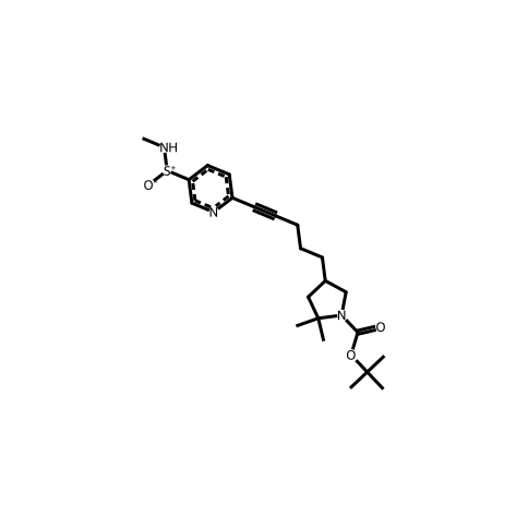 CN[S+]([O-])c1ccc(C#CCCCC2CN(C(=O)OC(C)(C)C)C(C)(C)C2)nc1